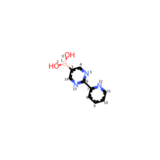 OB(O)c1cnc(-c2ccccn2)nc1